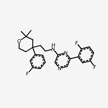 CC1(C)CC(CCNc2cncc(-c3cc(F)ccc3F)n2)(c2cccc(F)c2)CCO1